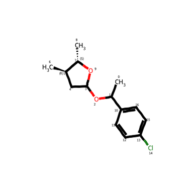 CC(OC1C[C@@H](C)[C@H](C)O1)c1ccc(Cl)cc1